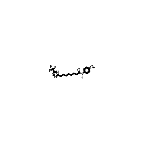 COc1ccc(NC(=O)CCCCCCCc2noc(C(F)(F)F)n2)cc1